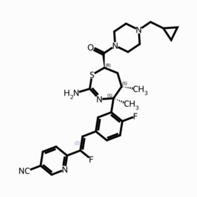 C[C@H]1C[C@H](C(=O)N2CCN(CC3CC3)CC2)SC(N)=N[C@]1(C)c1cc(/C=C(\F)c2ccc(C#N)cn2)ccc1F